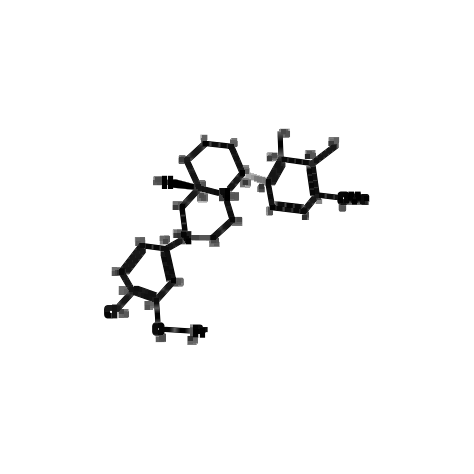 COc1ccc([C@H]2CCC[C@H]3CN(c4ccc(Cl)c(OC(C)C)c4)CCN32)c(C)c1C